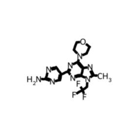 Cc1nc2c(N3CCOCC3)nc(-c3cnc(N)nc3)nc2n1CC(F)(F)F